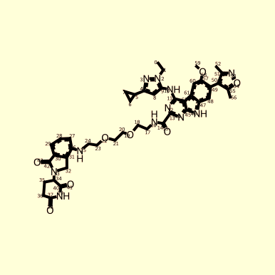 CCn1nc(C2CC2)cc1Nc1nc(C(=O)NCCOCCOCCNc2cccc3c2CN(C2CCC(=O)NC2=O)C3=O)nc2[nH]c3cc(-c4c(C)noc4C)c(OC)cc3c12